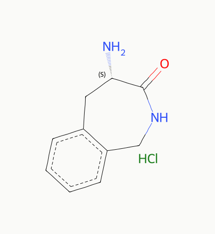 Cl.N[C@H]1Cc2ccccc2CNC1=O